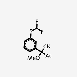 COC(C#N)(C(C)=O)c1cccc(SC(F)F)c1